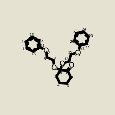 O=C1CCCCC1(OCCOc1ccccc1)OCCOc1ccccc1